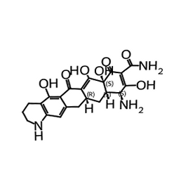 NC(=O)C1=C(O)[C@@H](N)[C@@H]2C[C@@H]3Cc4cc5c(c(O)c4C(=O)C3=C(O)[C@]2(O)C1=O)CCCN5